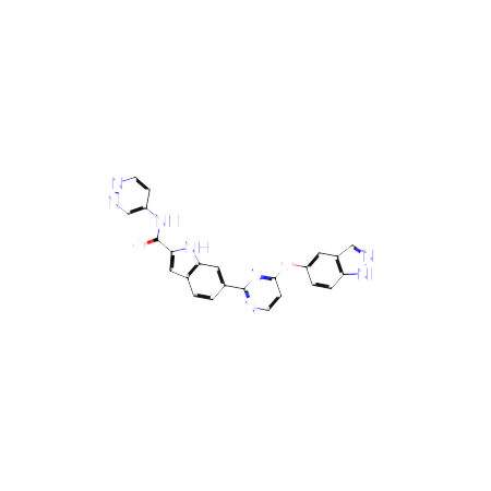 O=C(Nc1ccnnc1)c1cc2ccc(-c3nccc(Oc4ccc5[nH]ncc5c4)n3)cc2[nH]1